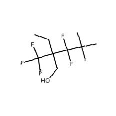 CCC(CO)(C(F)(F)F)C(F)(F)C(C)(C)C